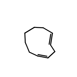 [C]1=C\CCCCC/C=C/C/1